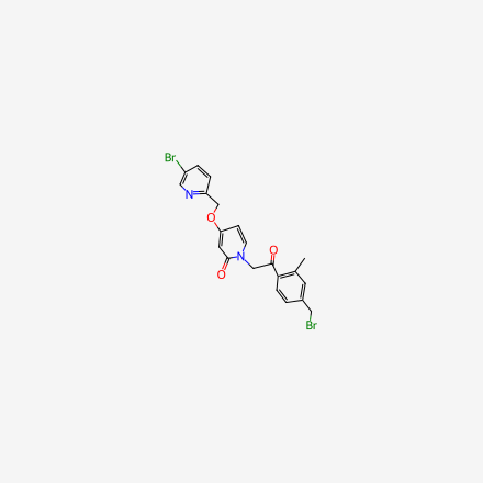 Cc1cc(CBr)ccc1C(=O)Cn1ccc(OCc2ccc(Br)cn2)cc1=O